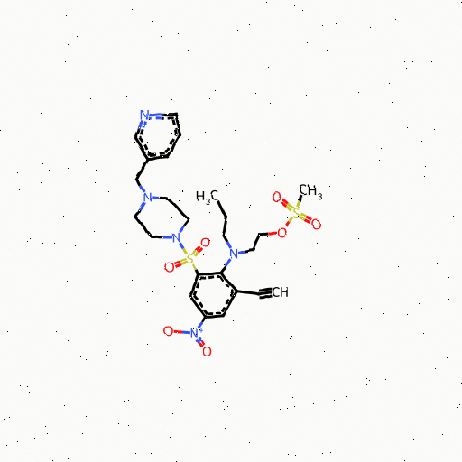 C#Cc1cc([N+](=O)[O-])cc(S(=O)(=O)N2CCN(Cc3cccnc3)CC2)c1N(CCC)CCOS(C)(=O)=O